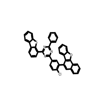 Clc1ccc(-c2nc(-c3ccccc3)nc(-c3cccc4c3sc3ccccc34)n2)cc1-c1cc2ccccc2c2oc3ccccc3c12